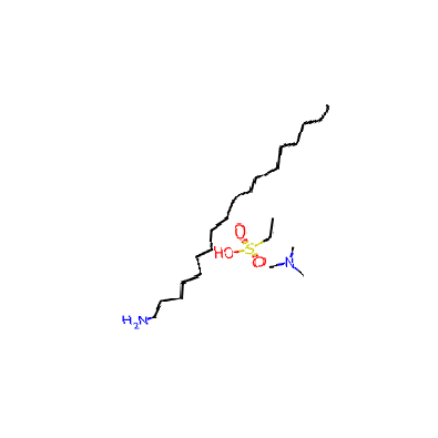 CCCCCCCCCCCCCCCCCCN.CCS(=O)(=O)O.CN(C)C